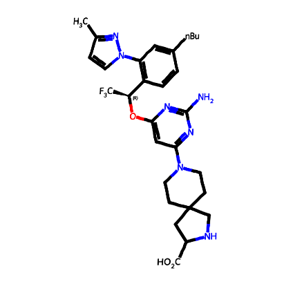 CCCCc1ccc([C@@H](Oc2cc(N3CCC4(CC3)CNC(C(=O)O)C4)nc(N)n2)C(F)(F)F)c(-n2ccc(C)n2)c1